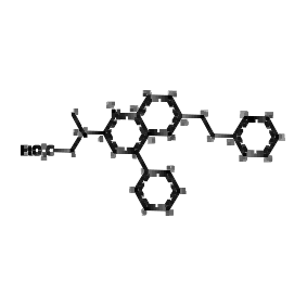 CCOC(=O)CN(C)c1cc(-c2ccccc2)c2cc(CCc3ccccc3)ccc2n1